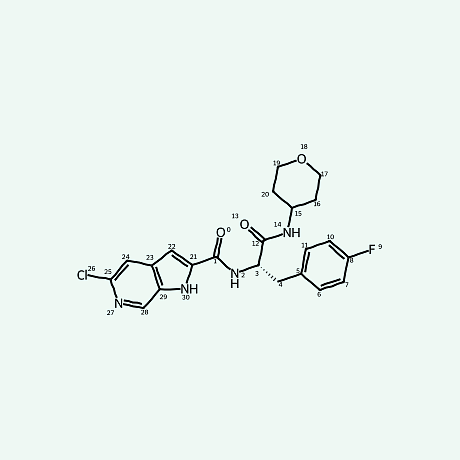 O=C(N[C@@H](Cc1ccc(F)cc1)C(=O)NC1CCOCC1)c1cc2cc(Cl)ncc2[nH]1